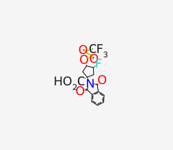 O=C1c2ccccc2C(=O)N1[C@@]1(C(=O)O)C[C@H](OS(=O)(=O)C(F)(F)F)[C@@H](F)C1